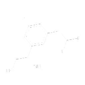 Cl.N[C@H](CO)c1cccc(OC(F)F)c1